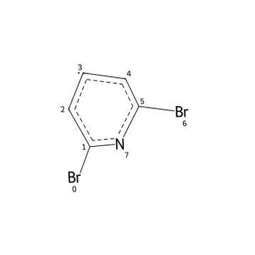 Brc1c[c]cc(Br)n1